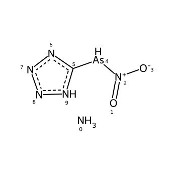 N.O=[N+]([O-])[AsH]c1nnn[nH]1